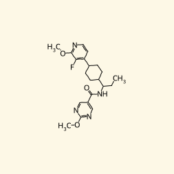 CCC(NC(=O)c1cnc(OC)nc1)C1CCC(c2ccnc(OC)c2F)CC1